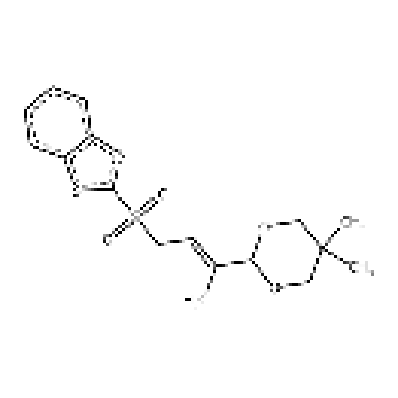 C/C(=C\CS(=O)(=O)c1nc2ccccc2s1)C1OCC(C)(C)CO1